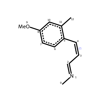 CN=C/C=C\c1ccc(OC)cc1C